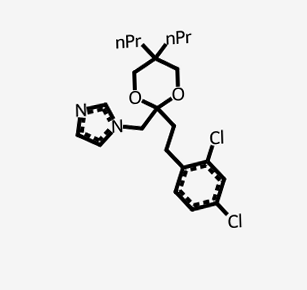 CCCC1(CCC)COC(CCc2ccc(Cl)cc2Cl)(Cn2ccnc2)OC1